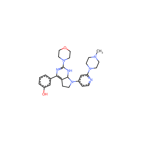 CN1CCN(c2cc(N3CCC4=C(c5cccc(O)c5)N=C(N5CCOCC5)NC43)ccn2)CC1